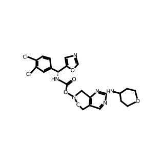 O=C(N[C@H](c1ccc(Cl)c(Cl)c1)c1cnco1)ON1CCc2cnc(NC3CCOCC3)nc2C1